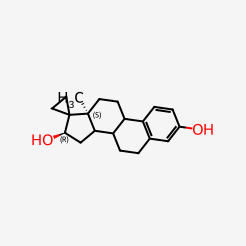 C[C@]12CCC3c4ccc(O)cc4CCC3C1C[C@@H](O)C21CC1